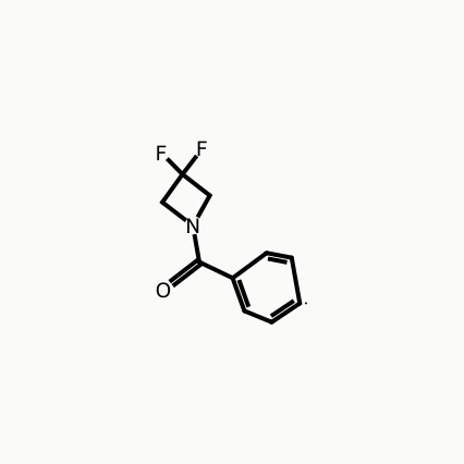 O=C(c1cc[c]cc1)N1CC(F)(F)C1